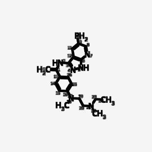 C=C(Nc1n[nH]c2ncc(P)cc12)c1ccc(N(C)CCN(C)CC)cc1